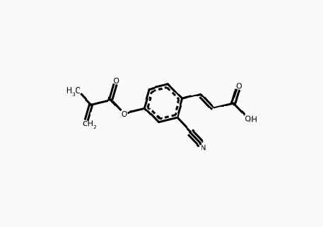 C=C(C)C(=O)Oc1ccc(C=CC(=O)O)c(C#N)c1